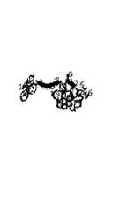 C[C@@H](CO[Si](C)(C)C(C)(C)C)N(CCCOS(C)(=O)=O)C(=O)OC(C)(C)C